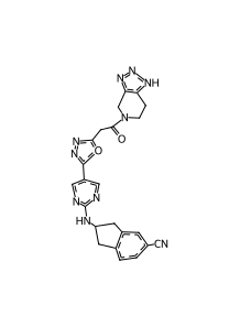 N#Cc1ccc2c(c1)CC(Nc1ncc(-c3nnc(CC(=O)N4CCc5[nH]nnc5C4)o3)cn1)C2